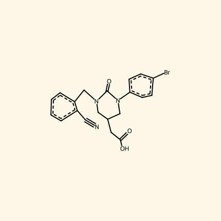 N#Cc1ccccc1CN1CC(CC(=O)O)CN(c2ccc(Br)cc2)C1=O